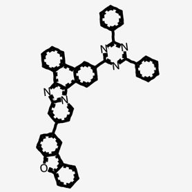 c1ccc(-c2nc(-c3ccccc3)nc(-c3ccc4c(c3)c3ccccc3c3nc5cc(-c6ccc7oc8ccccc8c7c6)ccn5c43)n2)cc1